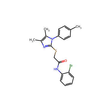 Cc1ccc(-n2c(SCC(=O)Nc3ccccc3Br)nc(C)c2C)cc1